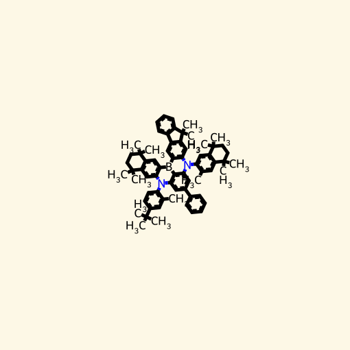 Cc1cc(C(C)(C)C)ccc1N1c2cc3c(cc2B2c4cc5c(cc4N(c4cc6c(cc4C)C(C)(C)CCC6(C)C)c4cc(-c6ccccc6)cc1c42)C(C)(C)c1ccccc1-5)C(C)(C)CCC3(C)C